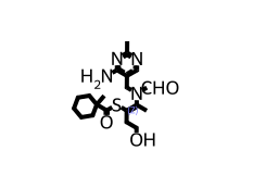 C/C(=C(\CCO)SC(=O)C1(C)CCCCC1)N(C=O)Cc1cnc(C)nc1N